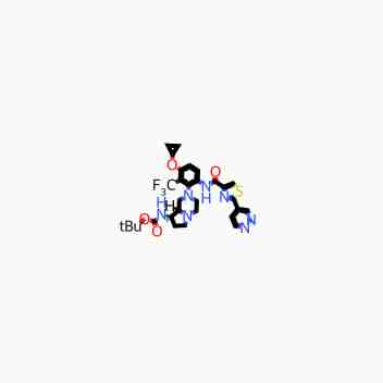 CC(C)(C)OC(=O)N[C@@H]1CCN2CCN(c3c(NC(=O)c4csc(-c5ccnnc5)n4)ccc(OC4CC4)c3C(F)(F)F)C[C@@H]12